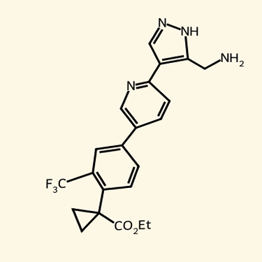 CCOC(=O)C1(c2ccc(-c3ccc(-c4cn[nH]c4CN)nc3)cc2C(F)(F)F)CC1